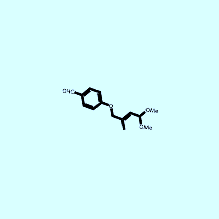 COC(C=C(C)COc1ccc(C=O)cc1)OC